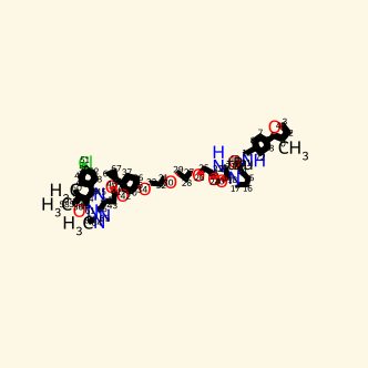 Cc1ccoc1-c1ccc(CNC(=O)C2CCCN2C(=O)C(NC(=O)COCCCOCCCOc2ccc(C3(OC(=O)CC4N=C(c5ccc(Cl)cc5)c5c(oc(C)c5C)-n5c(C)nnc54)CC3)cc2)C(C)(C)C)cc1